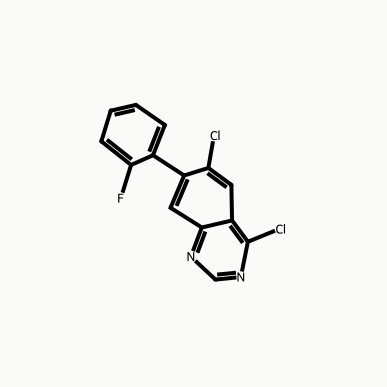 Fc1ccccc1-c1cc2ncnc(Cl)c2cc1Cl